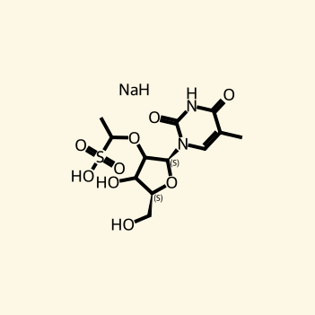 Cc1cn([C@H]2O[C@@H](CO)C(O)C2OC(C)S(=O)(=O)O)c(=O)[nH]c1=O.[NaH]